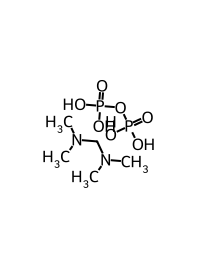 CN(C)CN(C)C.O=P(O)(O)OP(=O)(O)O